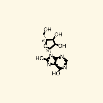 OC[C@H]1O[C@@H](n2c(O)nc3c(O)ncnc32)C(O)C1O